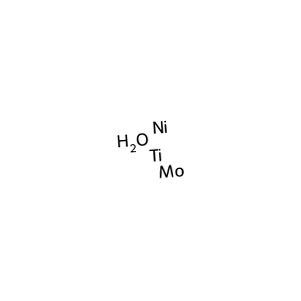 O.[Mo].[Ni].[Ti]